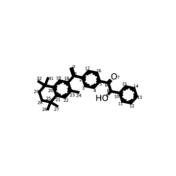 C=C(c1ccc(C(=O)C(O)c2ccccc2)cc1)c1cc2c(cc1C)C(C)(C)CCC2(C)C